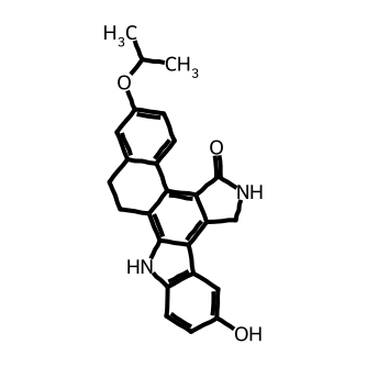 CC(C)Oc1ccc2c(c1)CCc1c-2c2c(c3c1[nH]c1ccc(O)cc13)CNC2=O